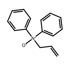 C=CC[N+]([O-])(c1ccccc1)c1ccccc1